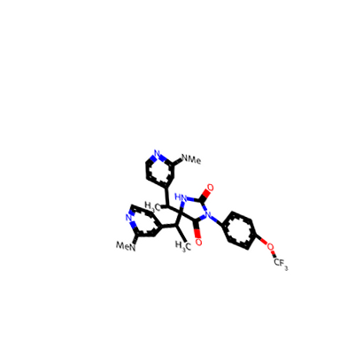 CNc1cc(C(C)C2(C(C)c3ccnc(NC)c3)NC(=O)N(c3ccc(OC(F)(F)F)cc3)C2=O)ccn1